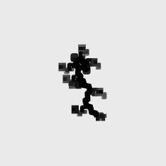 CC1=C(C)C(=O)C(CC[C@@](C)(O)CCC[C@H](C)CCC[C@@H](C)CCCC(C)C)=C(C)C1=O